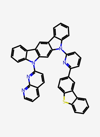 c1cc(-c2ccc3sc4ccccc4c3c2)nc(-n2c3ccccc3c3cc4c5ccccc5n(-c5ccc6cccnc6n5)c4cc32)c1